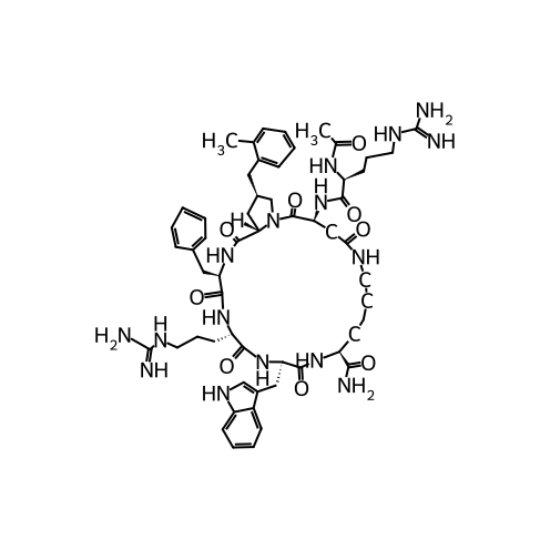 CC(=O)N[C@@H](CCCNC(=N)N)C(=O)N[C@H]1CC(=O)NCCCC[C@@H](C(N)=O)NC(=O)[C@H](Cc2c[nH]c3ccccc23)NC(=O)[C@H](CCCNC(=N)N)NC(=O)[C@@H](Cc2ccccc2)NC(=O)[C@@H]2C[C@@H](Cc3ccccc3C)CN2C1=O